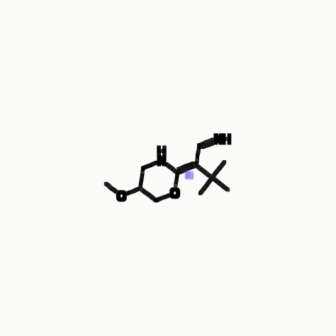 COC1CN/C(=C(\C=N)C(C)(C)C)OC1